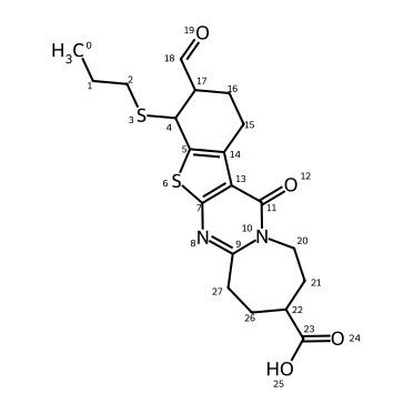 CCCSC1c2sc3nc4n(c(=O)c3c2CCC1C=O)CCC(C(=O)O)CC4